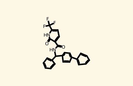 O=C(NC(c1ccccc1)c1ccc(-c2ccccc2)cc1)c1ccc(C(F)(F)F)[nH]c1=O